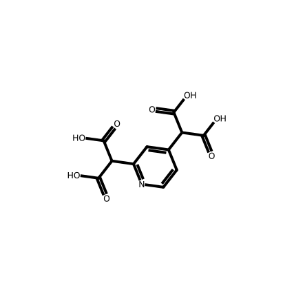 O=C(O)C(C(=O)O)c1ccnc(C(C(=O)O)C(=O)O)c1